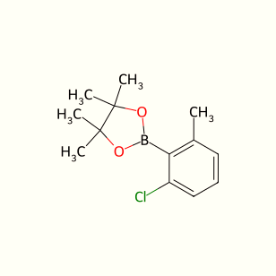 Cc1cccc(Cl)c1B1OC(C)(C)C(C)(C)O1